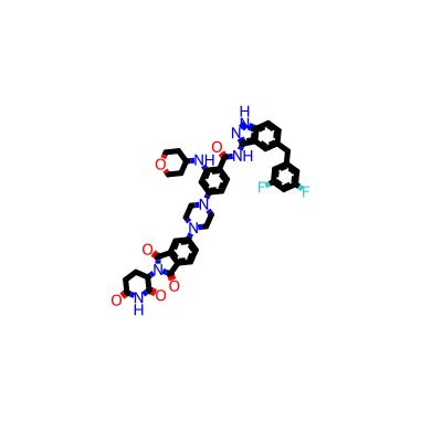 O=C1CCC(N2C(=O)c3ccc(N4CCN(c5ccc(C(=O)Nc6n[nH]c7ccc(Cc8cc(F)cc(F)c8)cc67)c(NC6CCOCC6)c5)CC4)cc3C2=O)C(=O)N1